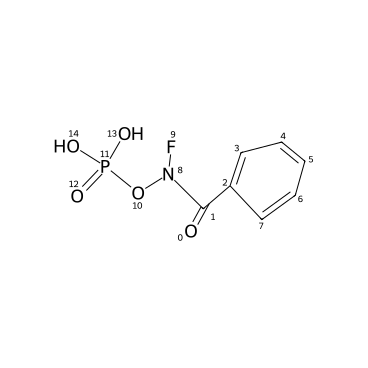 O=C(c1ccccc1)N(F)OP(=O)(O)O